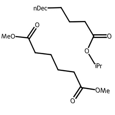 CCCCCCCCCCCCCC(=O)OC(C)C.COC(=O)CCCCC(=O)OC